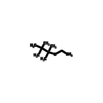 CC(C)(C)[Si](C)(C)OC[SiH3]